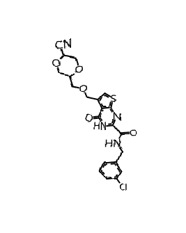 N#CC1COC(COCc2csc3nc(C(=O)NCc4cccc(Cl)c4)[nH]c(=O)c23)CO1